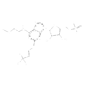 CSCCNc1nc(SCCC(F)(F)F)nc2c1ncn2[C@@H]1O[C@H](COP(=O)(Cl)Cl)C(O)C1O